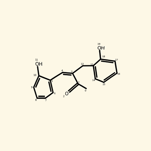 CC(=O)C(=Cc1ccccc1O)Cc1ccccc1O